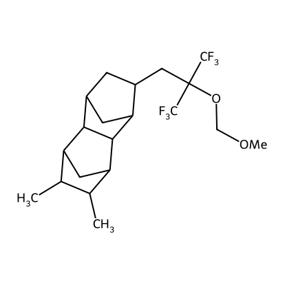 COCOC(CC1CC2CC1C1C3CC(C(C)C3C)C21)(C(F)(F)F)C(F)(F)F